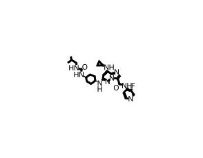 CC(C)CNC(=O)N[C@H]1CC[C@H](Nc2cc(NC3CC3)c3ncc(C(=O)Nc4ccncc4F)n3n2)CC1